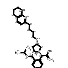 C=C(O)[C@@H](c1ccccc1[C@H](C)OC(C)C)N1CC[C@@H](OCCCCc2ccc3c(n2)NCCC3)C1